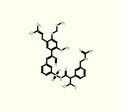 COCOc1cc(OC)c(C(C=O)=Cc2cccc(S(=O)(=O)NC(=O)C(c3cccc(CNC(=O)O)c3)C(C)Cl)c2)cc1CC=C(C)C